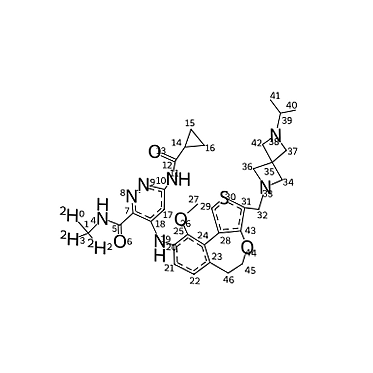 [2H]C([2H])([2H])NC(=O)c1nnc(NC(=O)C2CC2)cc1Nc1ccc2c(c1OC)-c1csc(CN3CC4(C3)CN(C(C)C)C4)c1OCC2